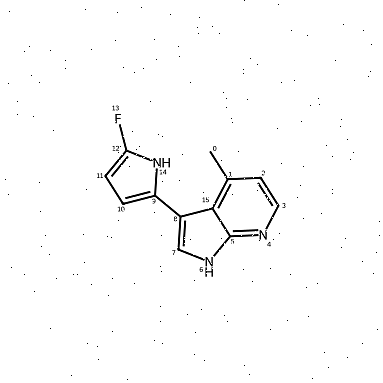 Cc1ccnc2[nH]cc(-c3ccc(F)[nH]3)c12